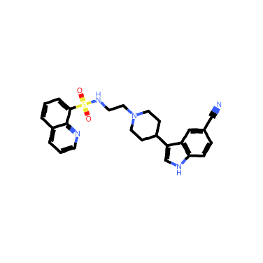 N#Cc1ccc2[nH]cc(C3CCN(CCNS(=O)(=O)c4cccc5cccnc45)CC3)c2c1